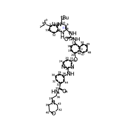 CP(C)c1ccc(N/C(=C\C(=N)C(C)(C)C)NC(=O)Nc2ccc(Oc3ccnc(Nc4cccc(C(=O)NCCN5CCOCC5)c4)n3)c3ccccc23)cc1